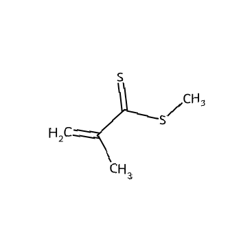 C=C(C)C(=S)SC